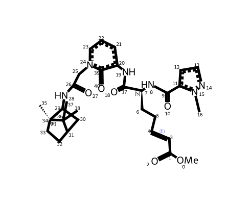 COC(=O)/C=C/CC[C@H](NC(=O)c1ccnn1C)C(=O)Nc1cccn(CC(=O)NC2CC3CC[C@]2(C)C3(C)C)c1=O